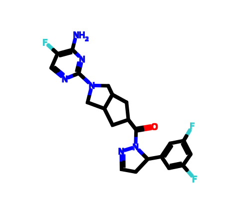 Nc1nc(N2CC3CC(C(=O)N4N=CCC4c4cc(F)cc(F)c4)CC3C2)ncc1F